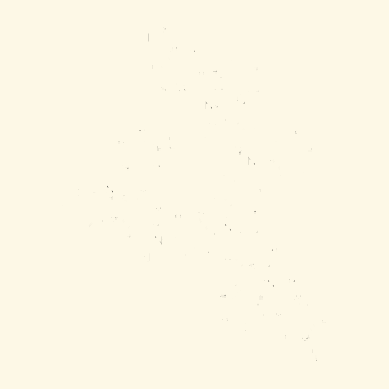 [2H]N(c1ccc(N(c2ccc(N(c3ccccc3)c3ccc4c(c3)c3ccccc3n4Cc3ccc(C(F)(F)F)cc3)cc2)c2ccc3c(c2)c2ccccc2n3Cc2ccc(C(F)(F)F)cc2)cc1)c1ccc2c(c1)c1ccccc1n2Cc1ccc(C(F)(F)F)cc1